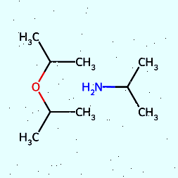 CC(C)N.CC(C)OC(C)C